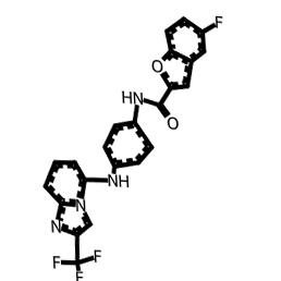 O=C(Nc1ccc(Nc2cccc3nc(C(F)(F)F)cn23)cc1)c1cc2cc(F)ccc2o1